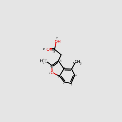 Cc1oc2cccc(C)c2c1CC(=O)O